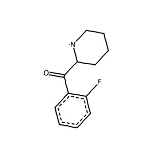 O=C(c1ccccc1F)C1CCCC[N]1